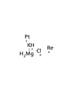 [Cl].[KH].[MgH2].[Pt].[Re]